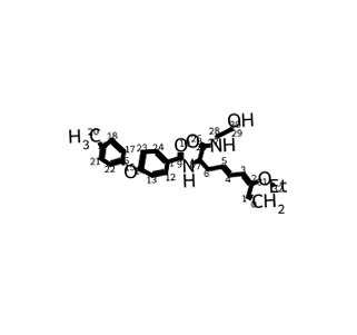 C=C/C(=C\C=C\CC(NC(=O)c1ccc(Oc2ccc(C)cc2)cc1)C(=O)NCCO)OCC